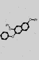 CC(C)Oc1ccc2cc(Oc3ccccc3)c(OC(C)C)cc2c1